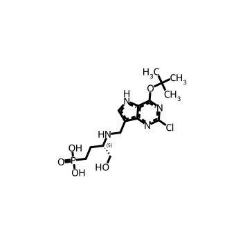 CC(C)(C)Oc1nc(Cl)nc2c(CN[C@H](CO)CCP(=O)(O)O)c[nH]c12